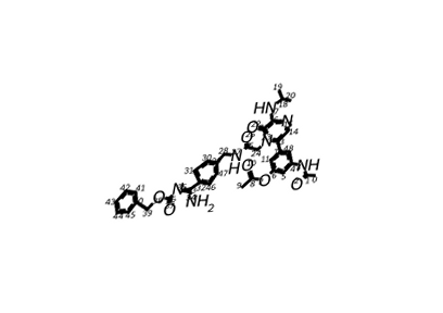 CC(=O)Nc1cc(OC(C)=O)cc(-c2cnc(NC(C)C)c(=O)n2CC(=O)NCc2ccc(/C(N)=N/C(=O)OCc3ccccc3)cc2)c1